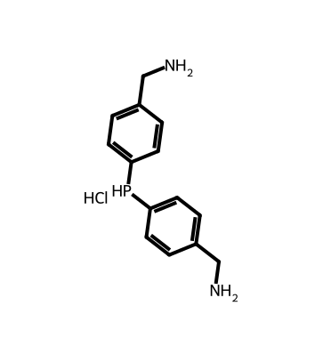 Cl.NCc1ccc(Pc2ccc(CN)cc2)cc1